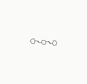 C(=C\C1CCC(/C=C/C2CCCCC2)CC1)/C1CCCCC1